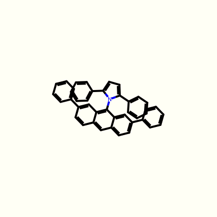 c1ccc(-c2ccc3cc4ccc(-c5ccccc5)cc4c(-n4c(-c5ccccc5)ccc4-c4ccccc4)c3c2)cc1